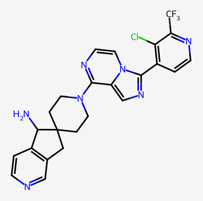 NC1c2ccncc2CC12CCN(c1nccn3c(-c4ccnc(C(F)(F)F)c4Cl)ncc13)CC2